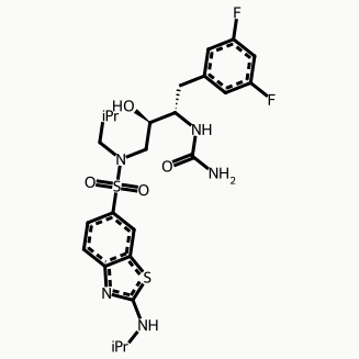 CC(C)CN(C[C@@H](O)[C@H](Cc1cc(F)cc(F)c1)NC(N)=O)S(=O)(=O)c1ccc2nc(NC(C)C)sc2c1